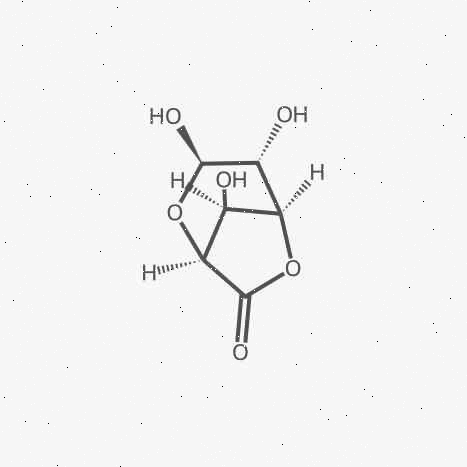 O=C1O[C@@H]2[C@@H](O)[C@H](O)O[C@H]1[C@H]2O